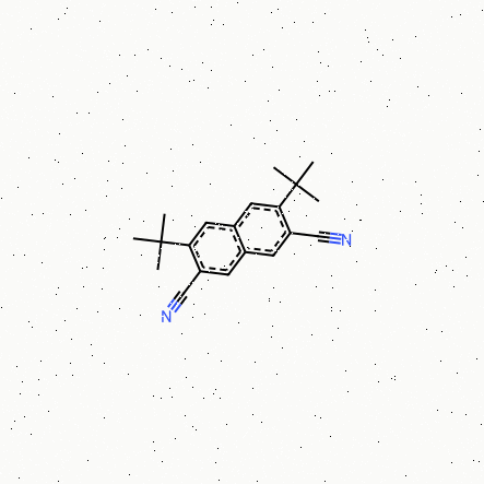 CC(C)(C)c1cc2cc(C(C)(C)C)c(C#N)cc2cc1C#N